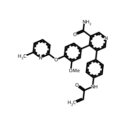 C=CC(=O)Nc1ccc(-c2cncc(C(N)=O)c2-c2ccc(Oc3cccc(C)n3)c(OC)c2)cc1